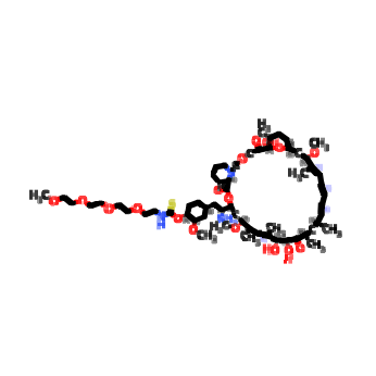 COCCOCCOCCOCCNC(=S)O[C@@H]1CC[C@@H](C[C@@H](N)[C@@H]2C[C@@H](OC)[C@H](C)/C=C(\C)[C@@H](O)[C@@H](O)C(=O)[C@H](C)C[C@H](C)/C=C/C=C/C=C(\C)[C@@H](OC)C[C@@H]3CC[C@@H](C)[C@@](O)(O3)C(=O)COCN3CCCC[C@H]3C(=O)O2)C[C@H]1OC